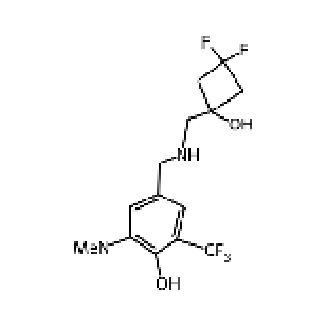 CNc1cc(CNCC2(O)CC(F)(F)C2)cc(C(F)(F)F)c1O